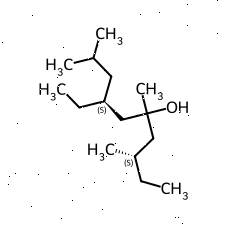 CC[C@H](C)CC(C)(O)C[C@@H](CC)CC(C)C